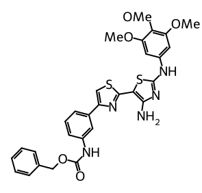 COc1cc(Nc2nc(N)c(-c3nc(-c4cccc(NC(=O)OCc5ccccc5)c4)cs3)s2)cc(OC)c1OC